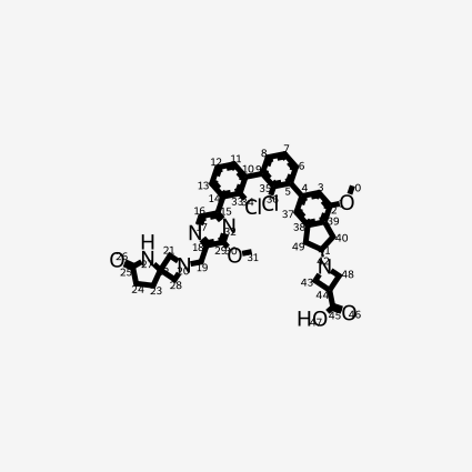 COc1cc(-c2cccc(-c3cccc(-c4cnc(CN5CC6(CCC(=O)N6)C5)c(OC)n4)c3Cl)c2Cl)cc2c1C[C@H](N1CC(C(=O)O)C1)C2